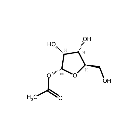 CC(=O)O[C@H]1O[C@H](CO)[C@@H](O)[C@H]1O